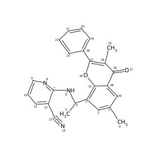 Cc1cc(C(C)Nc2ncccc2C#N)c2oc(-c3ccccc3)c(C)c(=O)c2c1